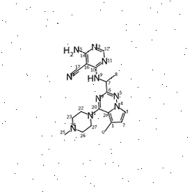 Cc1ccn2nc(C(C)Nc3ncnc(N)c3C#N)nc(N3CCN(C)CC3)c12